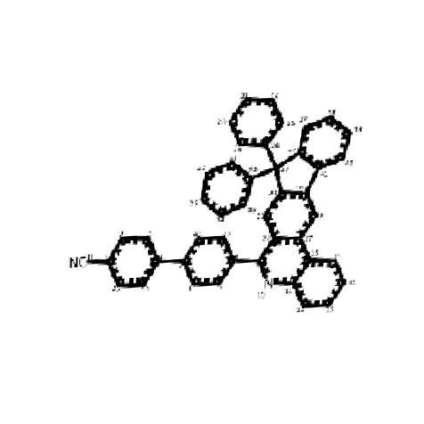 N#Cc1ccc(-c2ccc(-c3nc4ccccc4c4cc5c(cc34)C(c3ccccc3)(c3ccccc3)c3ccccc3-5)cc2)cc1